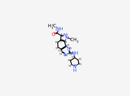 CNC(=O)c1nn(C)c2c1CCc1cnc(NC3CCNCC3)nc1-2